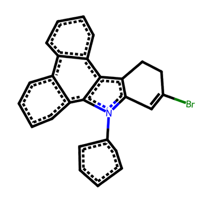 BrC1=Cc2c(c3c4ccccc4c4ccccc4c3n2-c2ccccc2)CC1